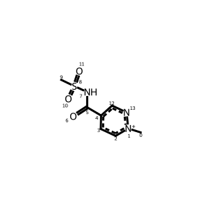 C[n+]1ccc(C(=O)NS(C)(=O)=O)cn1